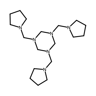 C1CCN(CN2CN(CN3CCCC3)CN(CN3CCCC3)C2)C1